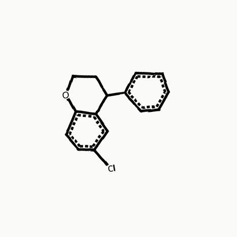 Clc1ccc2c(c1)C(c1ccccc1)CCO2